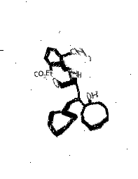 CCOC(=O)c1cccc(C)c1NC(=O)CC(Cc1ccccc1)C1CCCCCCCC1O